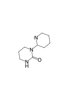 O=C1NCCCN1C1CCCC[N]1